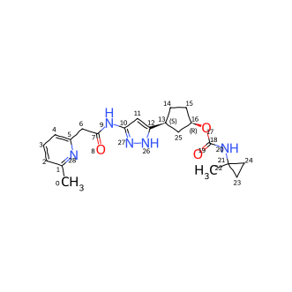 Cc1cccc(CC(=O)Nc2cc([C@H]3CC[C@@H](OC(=O)NC4(C)CC4)C3)[nH]n2)n1